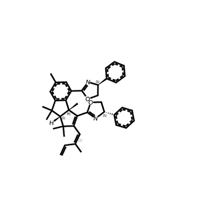 C=C/C(C)=C\C1=C(C2=N[C@@H](c3ccccc3)CO2)[C@@]2(C)c3c(C4=N[C@@H](c5ccccc5)CO4)cc(C)cc3C(C)(C)[C@H]2C1(C)C